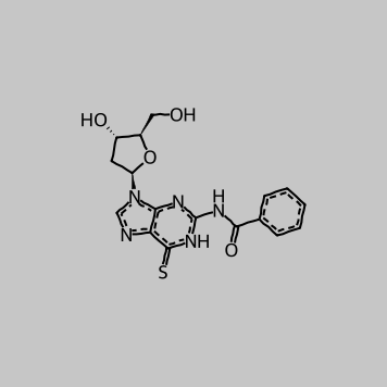 O=C(Nc1nc2c(ncn2[C@H]2C[C@H](O)[C@@H](CO)O2)c(=S)[nH]1)c1ccccc1